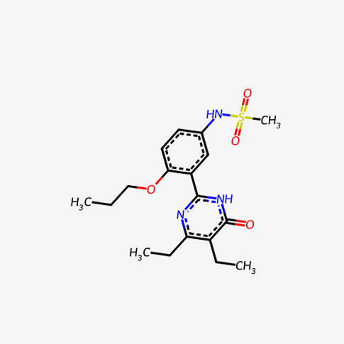 CCCOc1ccc(NS(C)(=O)=O)cc1-c1nc(CC)c(CC)c(=O)[nH]1